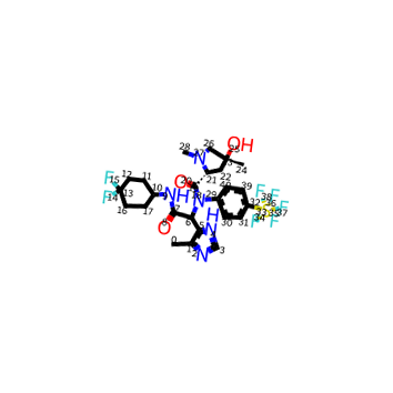 Cc1nc[nH]c1C(C(=O)NC1CCC(F)(F)CC1)N(C(=O)[C@H]1C[C@@](C)(O)CN1C)c1ccc(S(F)(F)(F)(F)F)cc1